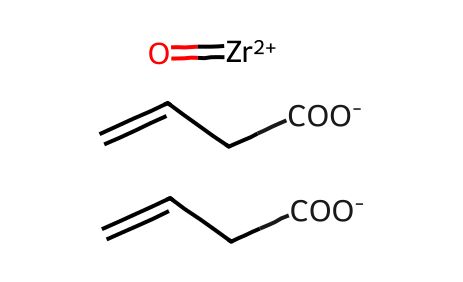 C=CCC(=O)[O-].C=CCC(=O)[O-].[O]=[Zr+2]